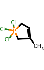 CC1=CCP(Cl)(Cl)(Cl)C1